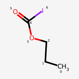 CCCOC(=O)I